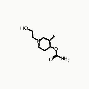 NC(=O)OC1CCN(CCO)CC1F